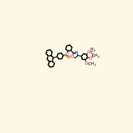 COc1cc(C2COC(c3ccccc3[S@@+]([O-])c3ccc(-c4c5ccccc5cc5ccccc45)cc3)=N2)cc(OC)c1OC